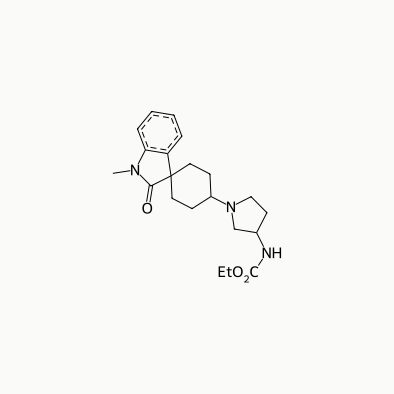 CCOC(=O)NC1CCN(C2CCC3(CC2)C(=O)N(C)c2ccccc23)C1